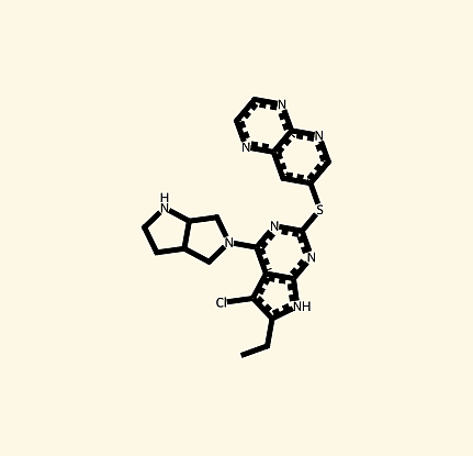 CCc1[nH]c2nc(Sc3cnc4nccnc4c3)nc(N3CC4CCNC4C3)c2c1Cl